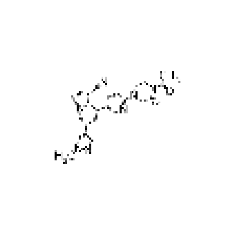 CC(=O)N1CCN(c2ccc(-c3cc(-c4cnn(C)c4)cn4ncc(C#N)c34)cn2)CC12CC2